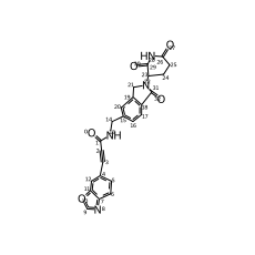 O=C(C#Cc1ccc2ncoc2c1)NCc1ccc2c(c1)CN(C1CCC(=O)NC1=O)C2=O